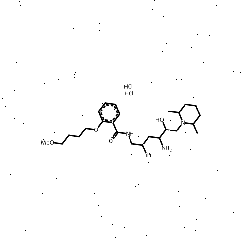 COCCCCOc1ccccc1C(=O)NCC(CC(N)C(O)CN1C(C)CCCC1C)C(C)C.Cl.Cl